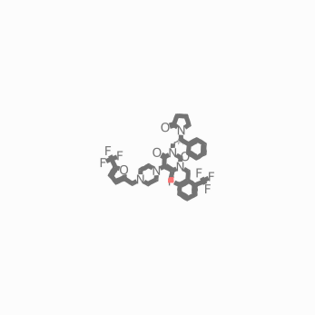 Cc1c(N2CCN(Cc3ccc(C(F)(F)F)o3)CC2)c(=O)n(C[C@@H](c2ccccc2)N2CCCC2=O)c(=O)n1Cc1c(F)cccc1C(F)(F)F